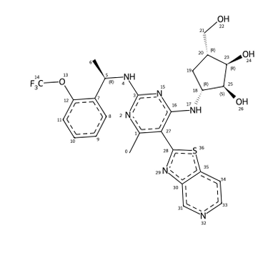 Cc1nc(N[C@H](C)c2ccccc2OC(F)(F)F)nc(N[C@@H]2C[C@H](CO)[C@@H](O)[C@H]2O)c1-c1nc2cnccc2s1